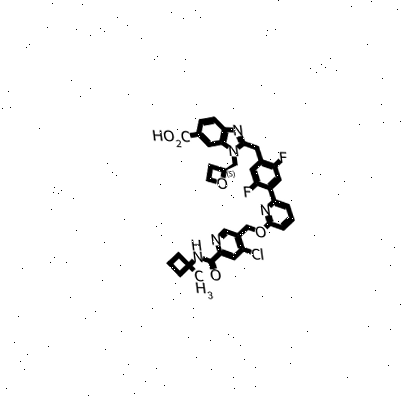 CC1(NC(=O)c2cc(Cl)c(COc3cccc(-c4cc(F)c(Cc5nc6ccc(C(=O)O)cc6n5C[C@@H]5CCO5)cc4F)n3)cn2)CCC1